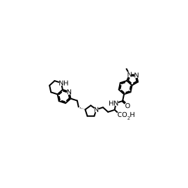 Cn1ncc2cc(C(=O)NC(CCN3CC[C@H](CCc4ccc5c(n4)NCCC5)C3)C(=O)O)ccc21